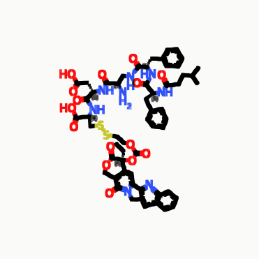 CC[C@@]1(OC(=O)OCCSSC[C@H](NC(=O)[C@H](CC(=O)O)NC(=O)[C@@H](N)CNC(=O)[C@H](Cc2ccccc2)NC(=O)[C@H](Cc2ccccc2)NC(=O)CCC(C)C)C(=O)O)C(=O)OCc2c1cc1n(c2=O)Cc2cc3ccccc3nc2-1